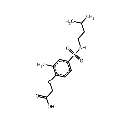 Cc1cc(S(=O)(=O)NCCC(C)C)ccc1OCC(=O)O